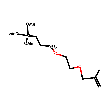 C=C(C)COCCO[SiH2]CC[Si](OC)(OC)OC